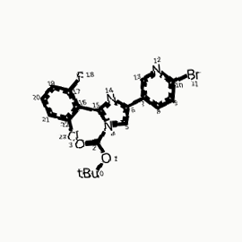 CC(C)(C)OC(=O)n1cc(-c2ccc(Br)nc2)nc1-c1c(F)cccc1Cl